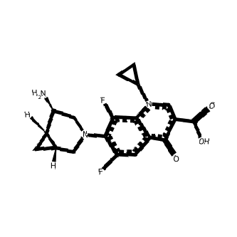 N[C@H]1CN(c2c(F)cc3c(=O)c(C(=O)O)cn(C4CC4)c3c2F)C[C@@H]2C[C@@H]21